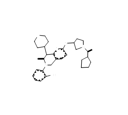 Cc1ccccc1N1Cc2ccc(NC3CCN(C(=O)C4CCCC4)C3)nc2C(C2CCOCC2)C1=O